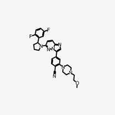 COCCN1CCN(c2cc(-c3cnc4ccc(N5CCCC5c5cc(F)ccc5F)nn34)ccc2C#N)CC1